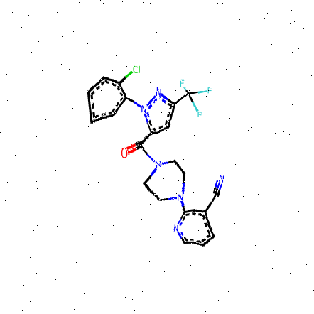 N#Cc1cccnc1N1CCN(C(=O)c2cc(C(F)(F)F)nn2-c2ccccc2Cl)CC1